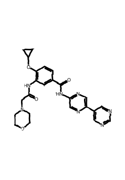 O=C(CN1CCOCC1)Nc1cc(C(=O)Nc2cnc(-c3cncnc3)cn2)ccc1OC1CC1